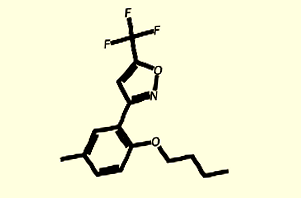 CCCCOc1ccc(C)cc1-c1cc(C(F)(F)F)on1